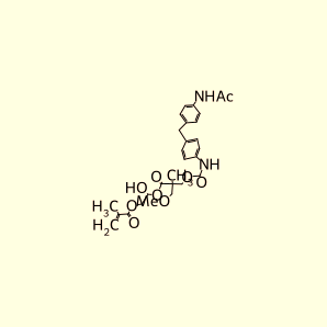 C=C(C)C(=O)OCC(O)OC(=O)C(C)(COC)COC(=O)Nc1ccc(Cc2ccc(NC(C)=O)cc2)cc1